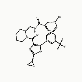 O=C(NCC1CCCCN1C(=O)c1nc(C2CC2)sc1-c1cccc(C(F)(F)F)c1)c1cccc(Br)c1